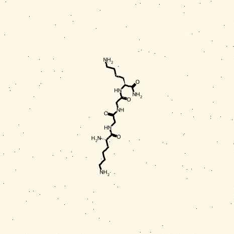 NCCCC[C@H](NC(=O)CNC(=O)CNC(=O)[C@@H](N)CCCCN)C(N)=O